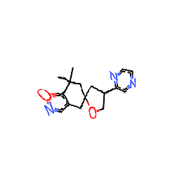 CC1(C)CC2(Cc3cnoc31)CC(c1cnccn1)CO2